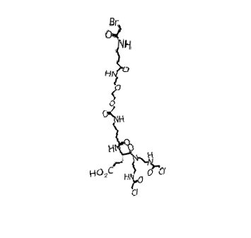 O=C(O)CC[C@H](NC(=O)CCCNC(=O)COCCOCCNC(=O)CCCNC(=O)CBr)C(=O)N(CCNC(=O)CCl)CCNC(=O)CCl